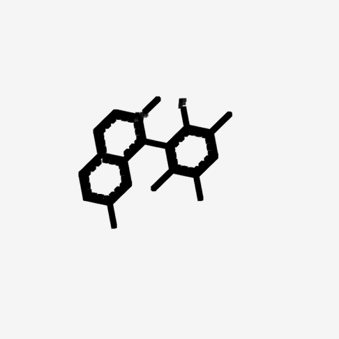 Cc1ccc2cc[n+](C)c(-c3c(C)c(C)cc(C)c3F)c2c1